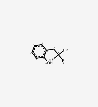 Oc1[c]cccc1CC(F)(F)F